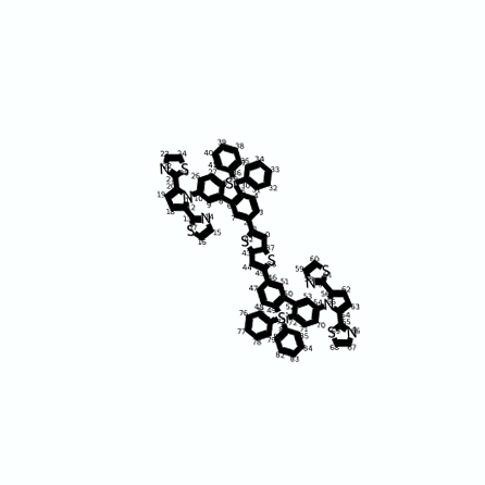 C1=C(c2ccc3c(c2)-c2cc(-n4c(-c5nccs5)ccc4-c4nccs4)ccc2[Si]3(c2ccccc2)c2ccccc2)SC2C=C(c3ccc4c(c3)-c3cc(-n5c(-c6nccs6)ccc5-c5nccs5)ccc3[Si]4(c3ccccc3)c3ccccc3)SC12